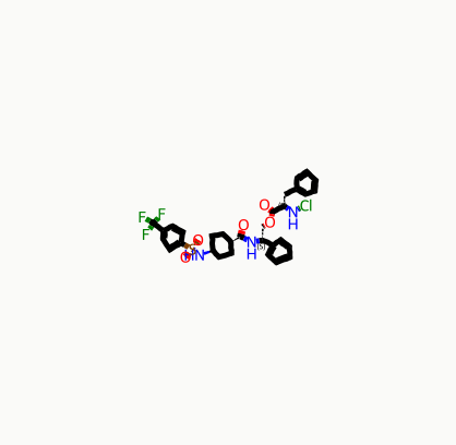 O=C(OC[C@@H](NC(=O)[C@H]1CC[C@H](NS(=O)(=O)c2ccc(C(F)(F)F)cc2)CC1)c1ccccc1)[C@H](Cc1ccccc1)NCl